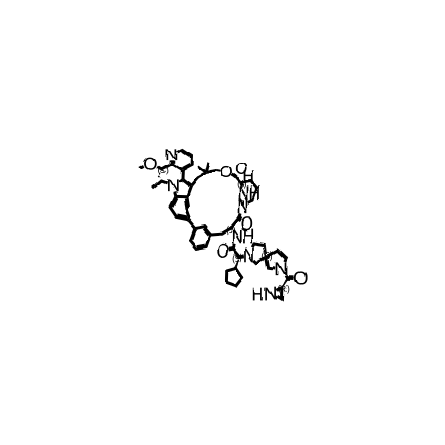 CCn1c(-c2cccnc2[C@H](C)OC)c2c3cc(ccc31)-c1cccc(c1)C[C@H](NC(=O)[C@H](C1CCCC1)N1CC[C@]3(CCN(C(=O)[C@H]4CN4)C3)C1)C(=O)N1CCC[C@H](N1)C(=O)OCC(C)(C)C2